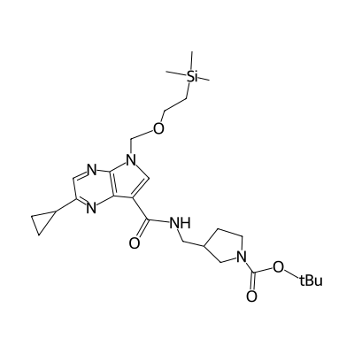 CC(C)(C)OC(=O)N1CCC(CNC(=O)c2cn(COCC[Si](C)(C)C)c3ncc(C4CC4)nc23)C1